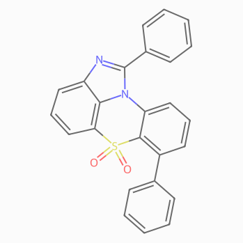 O=S1(=O)c2c(-c3ccccc3)cccc2-n2c(-c3ccccc3)nc3cccc1c32